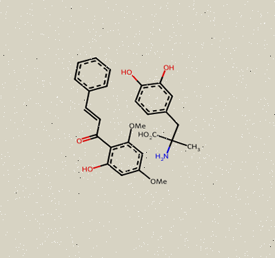 CC(N)(Cc1ccc(O)c(O)c1)C(=O)O.COc1cc(O)c(C(=O)C=Cc2ccccc2)c(OC)c1